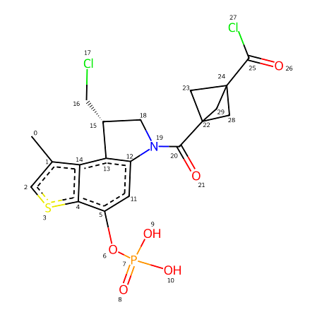 Cc1csc2c(OP(=O)(O)O)cc3c(c12)[C@H](CCl)CN3C(=O)C12CC(C(=O)Cl)(C1)C2